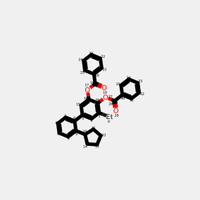 CCc1cc(-c2ccccc2C2CCCC2)cc(OC(=O)c2ccccc2)c1OC(=O)c1ccccc1